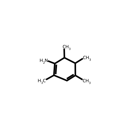 CC1=CC(C)=C(N)C(C)C1C